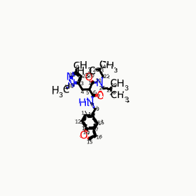 Cc1cc(CC(C(=O)NCc2ccc3occc3c2)C(=O)N(CC(C)C)CC(C)C)n(C)n1